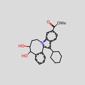 COC(=O)c1ccc2c(C3CCCCC3)c3n(c2c1)CCC(O)C(O)c1ccccc1-3